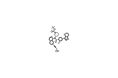 CC(C)(C)OC(=O)N1CCC[C@@H](N(C(=O)c2ccc(-n3nnc4cccnc43)cc2F)c2nccc3ccc(C#CCO)cc23)C1